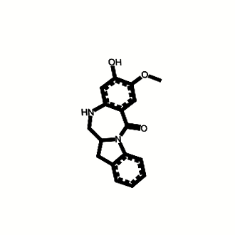 COc1cc2c(cc1O)NCC1Cc3ccccc3N1C2=O